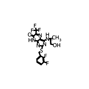 C[C@H](CO)Nc1nc(SCc2cccc(F)c2F)nc2[nH]c(=O)c(C(F)(F)F)nc12